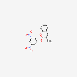 CC(=Cc1ccccc1)C(=O)Oc1cc([N+](=O)[O-])cc([N+](=O)[O-])c1